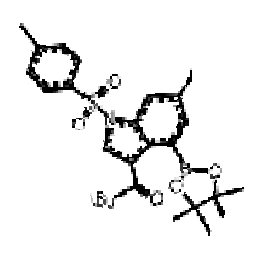 Cc1ccc(S(=O)(=O)n2cc(C(=O)C(C)(C)C)c3c(B4OC(C)(C)C(C)(C)O4)cc(I)cc32)cc1